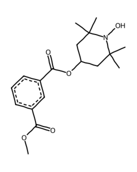 COC(=O)c1cccc(C(=O)OC2CC(C)(C)N(O)C(C)(C)C2)c1